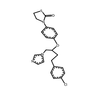 O=C1SCCN1c1ccc(OC(CCc2ccc(Cl)cc2)Cn2ccnc2)cc1